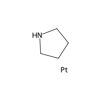 C1CCNC1.[Pt]